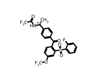 C[C@H](NC(=O)C(F)(F)F)c1ccc(C(=O)c2ccc(OC(F)(F)F)cc2S(=O)(=O)c2ccccc2F)cc1